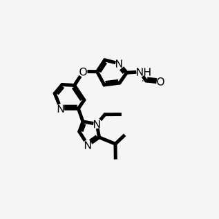 CCn1c(-c2cc(Oc3ccc(N[C]=O)nc3)ccn2)cnc1C(C)C